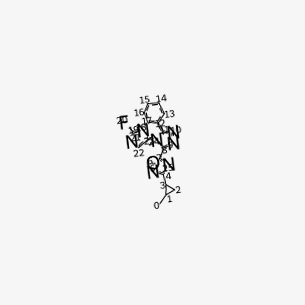 CC1CC1c1noc(-c2nnc3c4ccccc4n4c(F)ncc4n23)n1